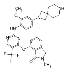 COc1cc(N2CC3(CCNCC3)C2)ccc1Nc1ncc(C(F)(F)F)c(Oc2cccc3c2C(=O)N(C)C3)n1